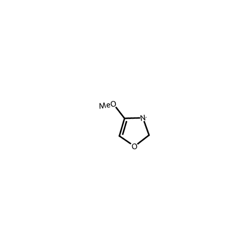 COC1=COC[N]1